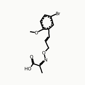 COc1ccc(Br)cc1C=CCON=C(C)C(=O)O